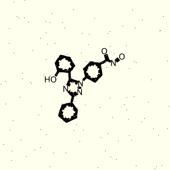 O=NC(=O)c1ccc(-n2nc(-c3ccccc3)nc2-c2ccccc2O)cc1